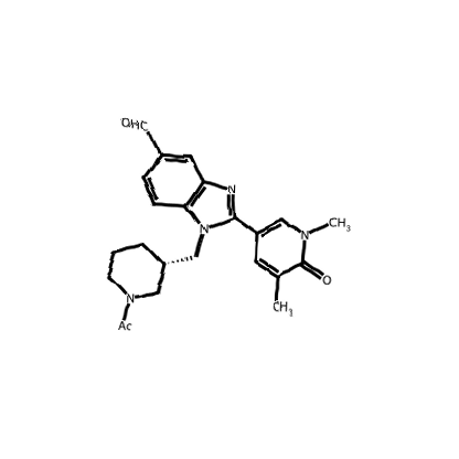 CC(=O)N1CCC[C@H](Cn2c(-c3cc(C)c(=O)n(C)c3)nc3cc(C=O)ccc32)C1